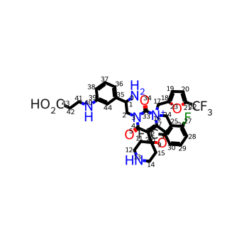 NC(CN1C(=O)C2=C(COC23CCNCC3)[N+](Cc2ccc(C(F)(F)F)o2)(Cc2c(F)cccc2C(F)(F)F)C1=O)c1cccc(NCCC(=O)O)c1